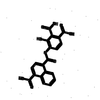 O=C(O)c1ccc(OC(=O)c2ccc(C(=O)O)c3ccccc23)c(O)c1C(=O)O